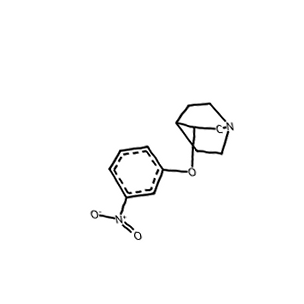 O=[N+]([O-])c1cccc(OC2CN3CCC2CC3)c1